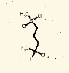 C[Si](Cl)(Cl)CCCC(F)(C(F)(F)F)C(F)(F)F